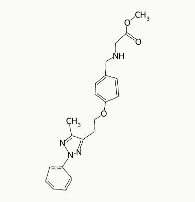 COC(=O)CNCc1ccc(OCCc2nn(-c3ccccc3)nc2C)cc1